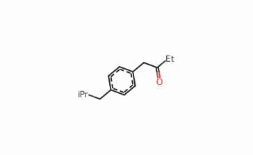 CCC(=O)Cc1ccc(CC(C)C)cc1